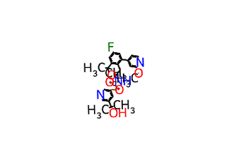 COc1cc(-c2cc(F)cc(C(C)C)c2CC(=O)NS(=O)(=O)c2cncc(C(C)(C)O)c2)ccn1